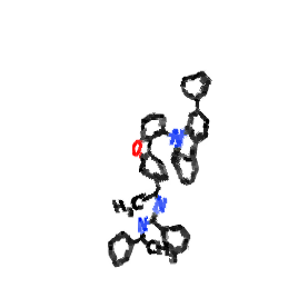 C/C(=N\C(=N/[C@@H](C)c1ccc2c(c1)oc1cccc(-n3c4ccccc4c4ccc(-c5ccccc5)cc43)c12)c1ccccc1)c1ccccc1